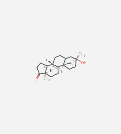 C[C@@]1(O)CC[C@@]2(CF)C(CC[C@@H]3[C@@H]2CC[C@]2(C)C(=O)CC[C@@H]32)C1